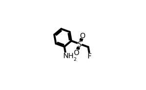 Nc1ccccc1S(=O)(=O)CF